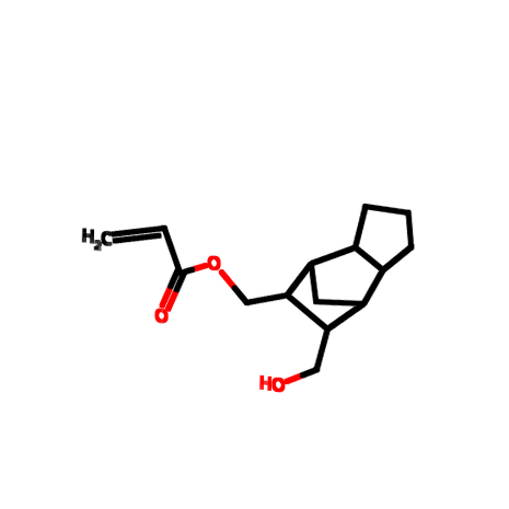 C=CC(=O)OCC1C(CO)C2CC1C1CCCC12